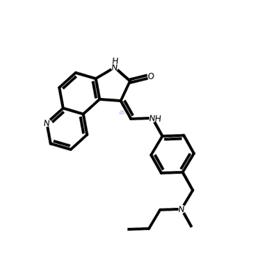 CCCN(C)Cc1ccc(N/C=C2\C(=O)Nc3ccc4ncccc4c32)cc1